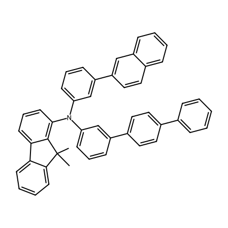 CC1(C)c2ccccc2-c2cccc(N(c3cccc(-c4ccc(-c5ccccc5)cc4)c3)c3cccc(-c4ccc5ccccc5c4)c3)c21